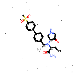 CC(C)C[C@@H](C(N)=O)N([C@@H](c1ccc(-c2ccc(S(C)(=O)=O)cc2)cc1)C(F)(F)F)[C@H]1CNCC1=O